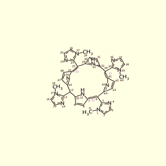 Cn1ccnc1/C1=C2\C=CC(N2)C(c2nccn2C)C2=N/C(=C(/c3nccn3C)c3ccc([nH]3)/C(c3nccn3C)=C3/C=CC1=N3)C=C2